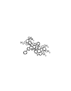 Cc1cc2c(cc1N1c3ccc(-c4ccccc4)cc3Bc3c1cc1c(sc4ccccc41)c3-c1ccc3sc4ccccc4c3c1Nc1ccc3c(c1)C(C)(C)CCC3(C)C)C(C)(C)CCC2(C)C